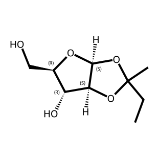 CCC1(C)O[C@@H]2O[C@H](CO)[C@@H](O)[C@@H]2O1